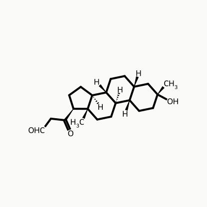 C[C@@]1(O)CC[C@H]2[C@H](CC[C@@H]3[C@@H]2CC[C@]2(C)[C@@H](C(=O)CC=O)CC[C@@H]32)C1